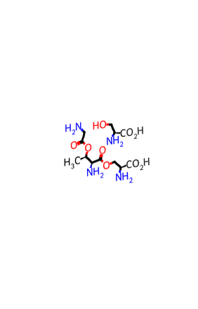 C[C@@H](OC(=O)CN)[C@H](N)C(=O)OC[C@H](N)C(=O)O.N[C@@H](CO)C(=O)O